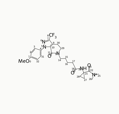 COc1ccc(-n2nc(C(F)(F)F)c3c2C(=O)N(CCCCC(=O)NC2(C(=O)N(C)C)CC2)CC3)cc1